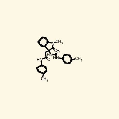 Cc1ccc(NC(=O)CC2(NC(=O)Nc3ccc(C)cc3)C(=O)N(C)c3ccccc32)cc1